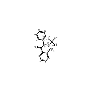 O=C(c1ccccc1C(F)(F)F)N(SC(F)(Cl)Cl)c1ccccc1